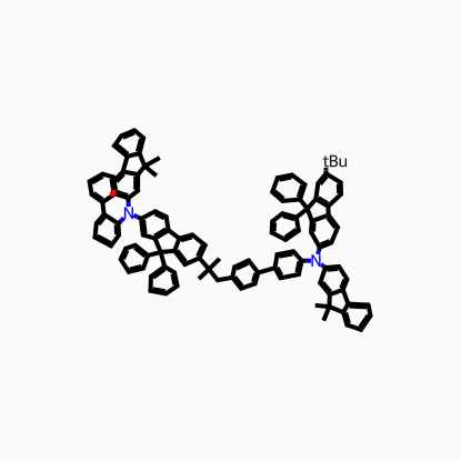 CC(C)(C)c1ccc2c(c1)C(c1ccccc1)(c1ccccc1)c1cc(N(c3ccc(-c4ccc(CC(C)(C)c5ccc6c(c5)C(c5ccccc5)(c5ccccc5)c5cc(N(c7ccc8c(c7)C(C)(C)c7ccccc7-8)c7ccccc7-c7ccccc7)ccc5-6)cc4)cc3)c3ccc4c(c3)C(C)(C)c3ccccc3-4)ccc1-2